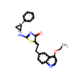 CCOc1ccnc2ccc(C/C=C3\SC(N[C@@H]4C[C@H]4c4ccccc4)=NC3=O)cc12